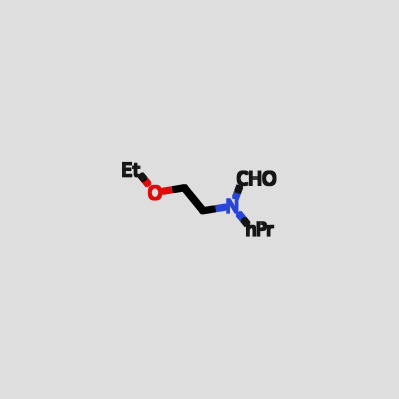 CCCN(C=O)CCOCC